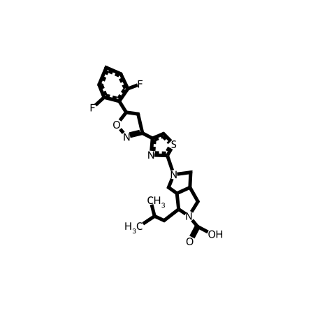 CC(C)CC1C2CN(c3nc(C4=NOC(c5c(F)cccc5F)C4)cs3)CC2CN1C(=O)O